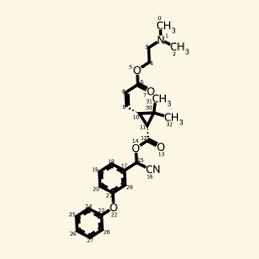 CN(C)CCOC(=O)/C=C\[C@H]1[C@@H](C(=O)OC(C#N)c2cccc(Oc3ccccc3)c2)C1(C)C